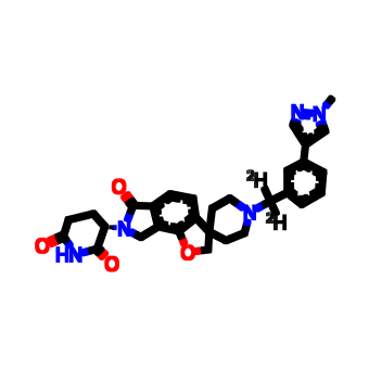 [2H]C([2H])(c1cccc(-c2cnn(C)c2)c1)N1CCC2(CC1)COc1c2ccc2c1CN([C@H]1CCC(=O)NC1=O)C2=O